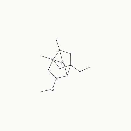 CCC12CC3CN(SC)C1CN(C)C3(C)C2